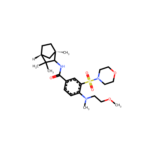 COCCN(C)c1ccc(C(=O)NC2C(C)(C)[C@@H]3CC[C@]2(C)C3)cc1S(=O)(=O)N1CCOCC1